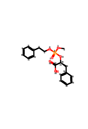 COP(=O)(OCCc1ccccc1)O[C@@H](Cc1ccccc1)C(=O)O